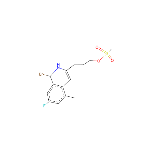 Cc1cc(F)cc2c1C=C(CCCOS(C)(=O)=O)NC2Br